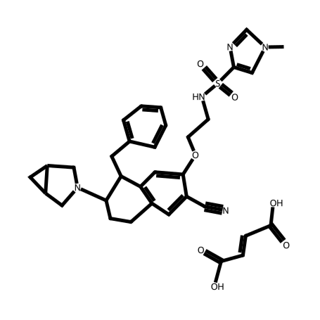 Cn1cnc(S(=O)(=O)NCCOc2cc3c(cc2C#N)CCC(N2CC4CC4C2)C3Cc2ccccc2)c1.O=C(O)C=CC(=O)O